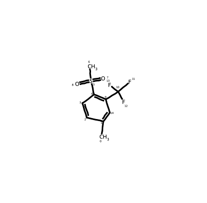 Cc1ccc(S(C)(=O)=O)c(C(F)(F)F)c1